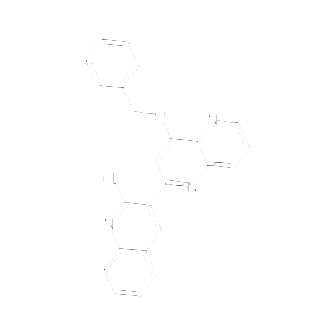 Clc1nc2ccccc2cc1-c1cc(OCc2ccccc2)c2ncccc2n1